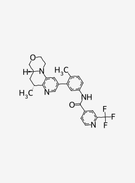 Cc1ccc(NC(=O)c2ccnc(C(F)(F)F)c2)cc1-c1cnc2c(c1)N1CCOC[C@H]1C[C@H]2C